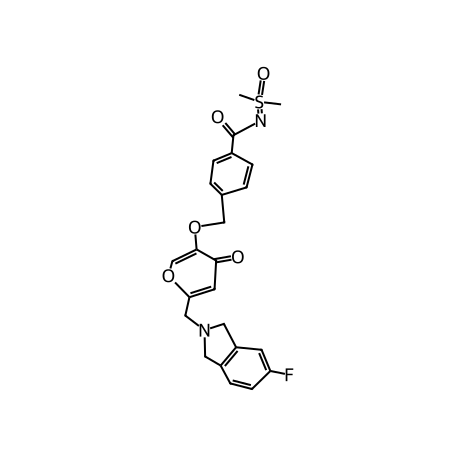 CS(C)(=O)=NC(=O)c1ccc(COc2coc(CN3Cc4ccc(F)cc4C3)cc2=O)cc1